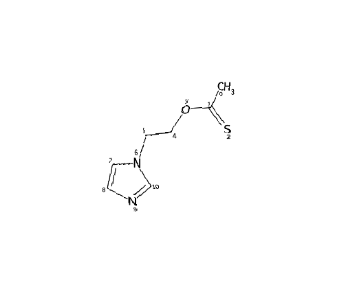 CC(=S)OCCn1ccnc1